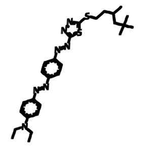 CCN(CC)c1ccc(/N=N/c2ccc(/N=N/c3nnc(SCCC(C)CC(C)(C)C)s3)cc2)cc1